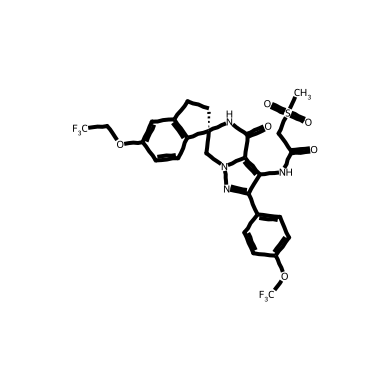 CS(=O)(=O)CC(=O)Nc1c(-c2ccc(OC(F)(F)F)cc2)nn2c1C(=O)N[C@@]1(CCc3cc(OCC(F)(F)F)ccc31)C2